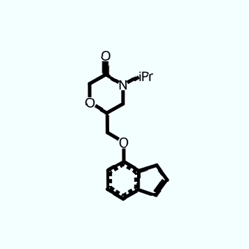 CC(C)N1CC(COc2cccc3c2CC=C3)OCC1=O